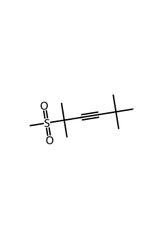 CC(C)(C)C#CC(C)(C)S(C)(=O)=O